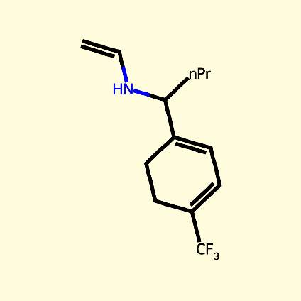 C=CNC(CCC)C1=CC=C(C(F)(F)F)CC1